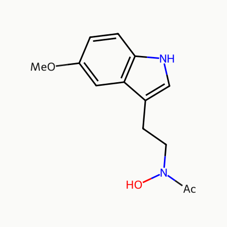 COc1ccc2[nH]cc(CCN(O)C(C)=O)c2c1